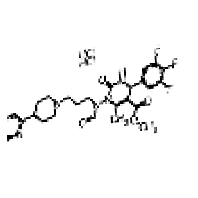 COC(=O)C1=C(C)N(N(C=O)CCCN2CCC(c3ccccn3)CC2)C(=O)NC1c1cc(F)c(F)c(F)c1.Cl.Cl